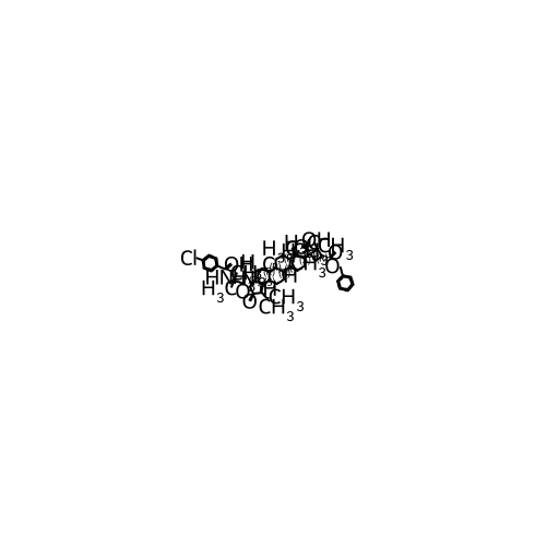 CC(C)C1=C2[C@H]3CC[C@@H]4[C@]5(C)CC[C@H]([C@@]6(C(=O)O)C[C@@H](C(=O)OCc7ccccc7)C6(C)C)C(C)(C)[C@H]5CC[C@@]4(C)[C@]3(C)CC[C@@]2(NC(=O)C(C)(C)NC(=O)c2ccc(Cl)cc2)CC1=O